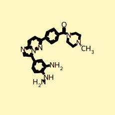 CN1CCN(C(=O)c2ccc(-c3ccc4ncc(-c5ccc(NN)c(N)c5)n4n3)cc2)CC1